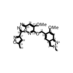 COc1cc2nn(C)cc2cc1COc1nn2c(-c3cc(C)on3)nnc2cc1OC